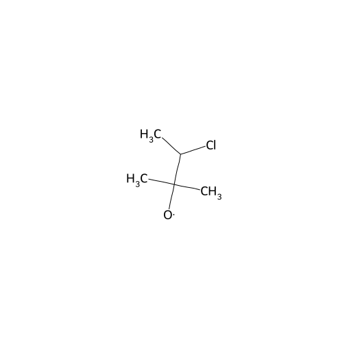 CC(Cl)C(C)(C)[O]